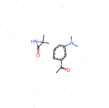 CC(=O)c1cccc(N(C)C)c1.CC1(C)NC1=O